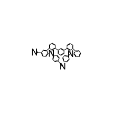 N#Cc1ccc(-n2c3ccc(C#N)cc3c3cccc(-c4cccc(-c5cccc6c7ccccc7n(-c7ccccc7)c56)c4)c32)cc1